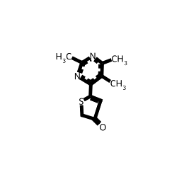 Cc1nc(C)c(C)c(C2=CC(=O)CS2)n1